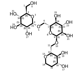 OC[C@H]1O[C@H](OC[C@H]2O[C@H](OC[C@H]3OCC[C@@H](O)[C@@H]3O)[C@H](O)[C@@H](O)[C@@H]2O)[C@H](O)[C@@H](O)[C@@H]1O